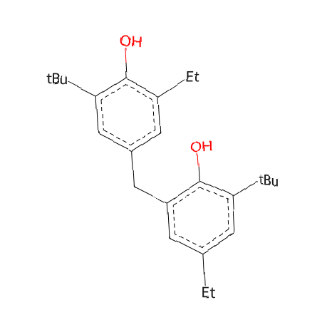 CCc1cc(Cc2cc(CC)c(O)c(C(C)(C)C)c2)c(O)c(C(C)(C)C)c1